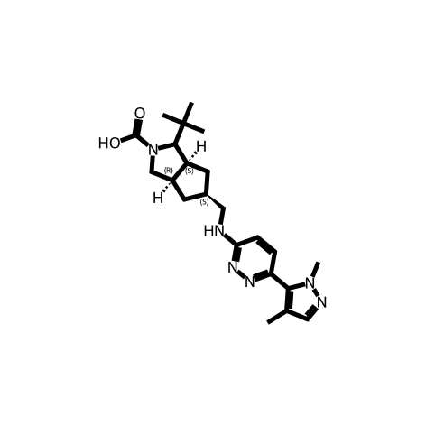 Cc1cnn(C)c1-c1ccc(NC[C@H]2C[C@H]3CN(C(=O)O)C(C(C)(C)C)[C@H]3C2)nn1